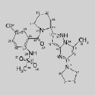 CC1=CC(N2CCCC2)=NC2=CC(C3CCCCN3C(=O)c3cc(Cl)ccc3NS(C)(=O)=O)NN12